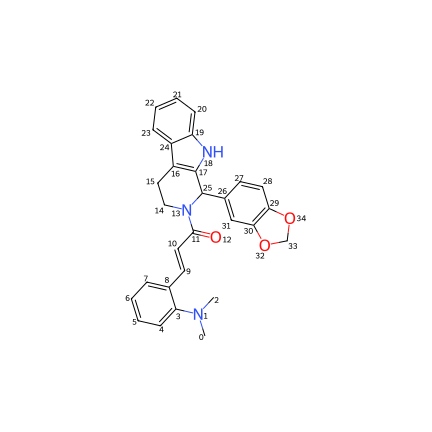 CN(C)c1ccccc1/C=C/C(=O)N1CCc2c([nH]c3ccccc23)C1c1ccc2c(c1)OCO2